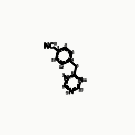 N#Cc1ccc(Cc2ncncn2)cc1